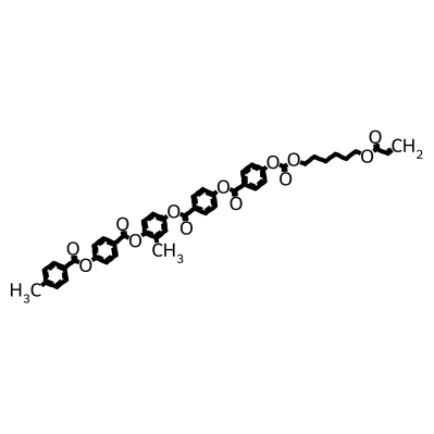 C=CC(=O)OCCCCCCOC(=O)Oc1ccc(C(=O)Oc2ccc(C(=O)Oc3ccc(OC(=O)c4ccc(OC(=O)c5ccc(C)cc5)cc4)c(C)c3)cc2)cc1